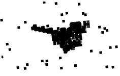 CCNC(=O)N[C@@H](CSC/C(OC(=O)[C@H](CSC/C=C(\C)CC/C=C(\C)CCC=C(C)C)NC(=O)NCC(=O)OCC)=C(\C)CC/C=C(\C)CCC=C(C)C)C(=O)O